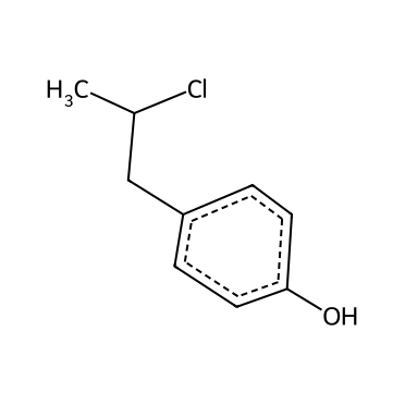 CC(Cl)Cc1ccc(O)cc1